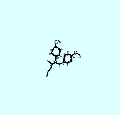 CCCC(C)N(Cc1ccc(OC)cc1)c1ccc(OC)cc1